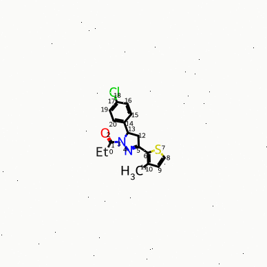 CCC(=O)N1N=C(c2sccc2C)CC1c1ccc(Cl)cc1